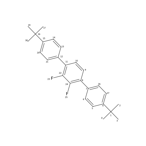 CC(C)(C)c1ccc(-c2ccc(-c3ccc(C(C)(C)C)cc3)c(F)c2F)cc1